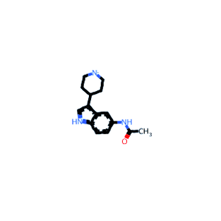 CC(=O)Nc1ccc2[nH]cc(C3CC[N]CC3)c2c1